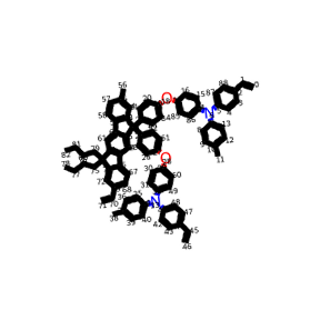 C=Cc1ccc(N(c2ccc(C)cc2)c2ccc(Oc3ccc(C4(c5ccc(Oc6ccc(N(c7ccc(C)cc7)c7ccc(C=C)cc7)cc6)cc5)c5cc(C)ccc5-c5cc6c(cc54)-c4ccc(C=C)cc4C6(CCCC)CCCC)cc3)cc2)cc1